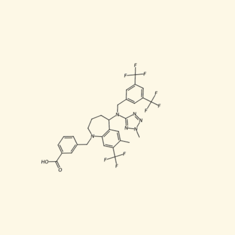 Cc1cc2c(cc1C(F)(F)F)N(Cc1cccc(C(=O)O)c1)CCCC2N(Cc1cc(C(F)(F)F)cc(C(F)(F)F)c1)c1nnn(C)n1